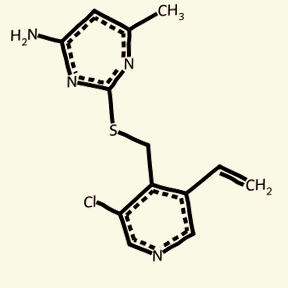 C=Cc1cncc(Cl)c1CSc1nc(C)cc(N)n1